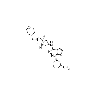 CC1CCCN(c2nnc(NC3C[C@@H]4CN(CC5CCOCC5)C[C@@H]4C3)c3ccsc23)C1